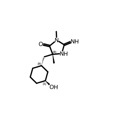 CN1C(=N)N[C@](C)(C[C@H]2CCC[C@H](O)C2)C1=O